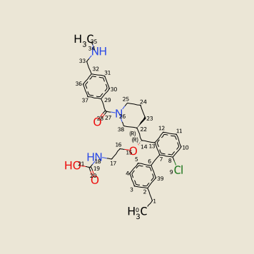 CCc1cccc(-c2c(Cl)cccc2[C@H](OCCNC(=O)O)[C@@H]2CCCN(C(=O)c3ccc(CNC)cc3)C2)c1